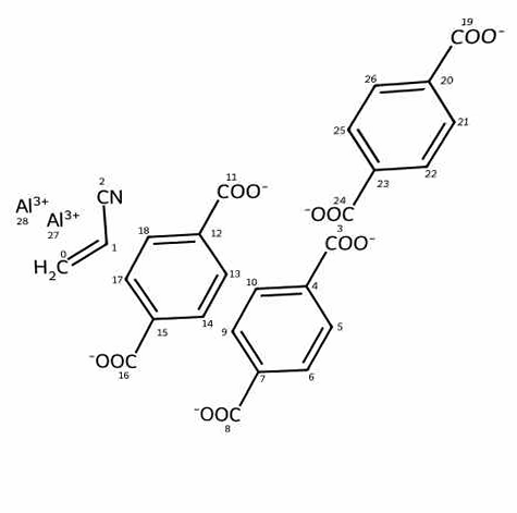 C=CC#N.O=C([O-])c1ccc(C(=O)[O-])cc1.O=C([O-])c1ccc(C(=O)[O-])cc1.O=C([O-])c1ccc(C(=O)[O-])cc1.[Al+3].[Al+3]